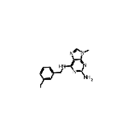 Cn1cnc2c(NCc3cccc(I)c3)nc(N)nc21